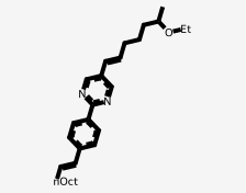 CCCCCCCC/C=C/c1ccc(-c2ncc(/C=C/CCCC(C)OCC)cn2)cc1